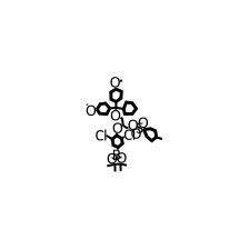 COc1ccc(C(OCC(COS(=O)(=O)c2ccc(C)cc2)Oc2c(Cl)cc(B3OC(C)(C)C(C)(C)O3)cc2Cl)(c2ccccc2)c2ccc(OC)cc2)cc1